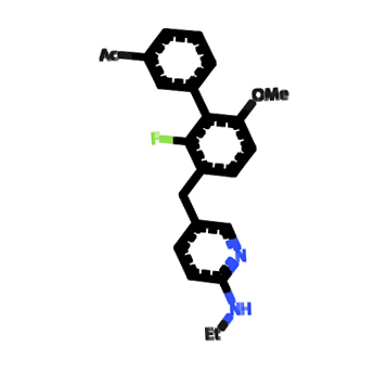 CCNc1ccc(Cc2ccc(OC)c(-c3cccc(C(C)=O)c3)c2F)cn1